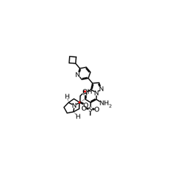 CS(=O)(=O)c1c([C@@H]2C[C@H]3CC[C@@H](C2)N3C(=O)CO)nc2c(-c3ccc(C4CCC4)nc3)cnn2c1N